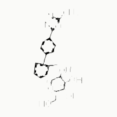 Cc1nnc(-c2ccc(-c3cccc([C@H]4O[C@H](CO)[C@@H](O)[C@H](O)[C@@H]4O)c3F)cc2)o1